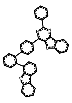 c1ccc(-c2nc(-c3ccc(-c4ccccc4-c4cccc5c4sc4ccccc45)cc3)c3oc4ccccc4c3n2)cc1